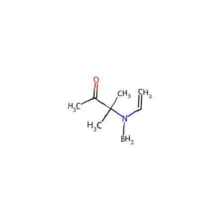 BN(C=C)C(C)(C)C(C)=O